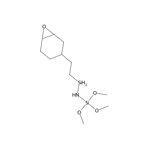 CO[Si](N[SiH2]CCC1CCC2OC2C1)(OC)OC